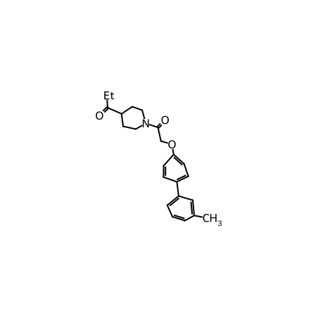 CCC(=O)C1CCN(C(=O)COc2ccc(-c3cccc(C)c3)cc2)CC1